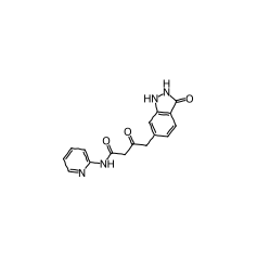 O=C(CC(=O)Nc1ccccn1)Cc1ccc2c(=O)[nH][nH]c2c1